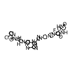 COc1cc(N2CCN([C@H]3CC[C@H](n4cc(-c5cn6ncc(C#N)c6c(-c6ccc(N7C[C@@H]8[C@@H](CNC(=O)c9ncccc9Cl)[C@@H]8C7)nc6)n5)cn4)CC3)CC2)c(F)cc1NC1CCC(=O)NC1=O